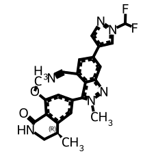 COc1cc(-c2c3c(C#N)cc(-c4cnn(C(F)F)c4)cc3nn2C)cc2c1C(=O)NC[C@@H]2C